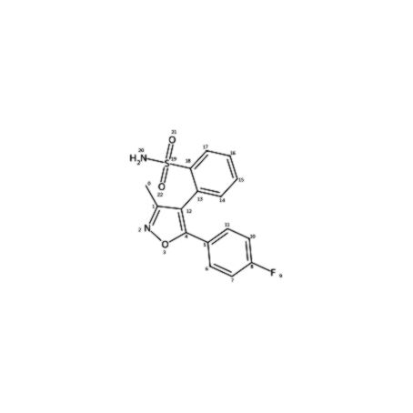 Cc1noc(-c2ccc(F)cc2)c1-c1ccccc1S(N)(=O)=O